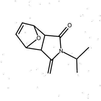 C=C1C2C3C=CC(O3)C2C(=O)N1C(C)C